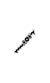 CC(C)CCCCCCCOC(=O)OC1CCC(OC(=O)OCCC(C)C)CC1